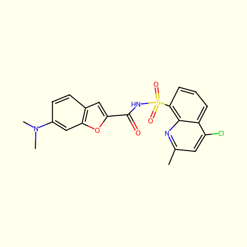 Cc1cc(Cl)c2cccc(S(=O)(=O)NC(=O)c3cc4ccc(N(C)C)cc4o3)c2n1